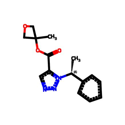 C[C@H](c1ccccc1)n1nncc1C(=O)OC1(C)COC1